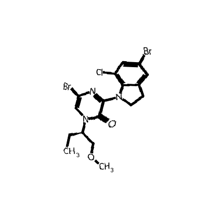 CC[C@H](COC)n1cc(Br)nc(N2CCc3cc(Br)cc(Cl)c32)c1=O